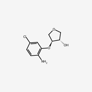 Nc1ccc(Cl)cc1O[C@H]1COC[C@@H]1O